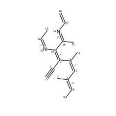 C#CC(/C(C)=C\C(C)=C\C)=C(\N=C/C)C(/C)=N/C=C